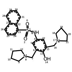 O=S(=O)(Nc1cc(CN2CCCC2)c(O)c(CN2CCCC2)c1)c1cccc2ccccc12